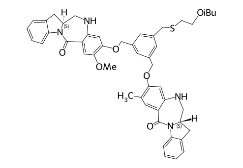 COc1cc2c(cc1OCc1cc(COc3cc4c(cc3C)C(=O)N3c5ccccc5C[C@H]3CN4)cc(CSCCOCC(C)C)c1)NC[C@@H]1Cc3ccccc3N1C2=O